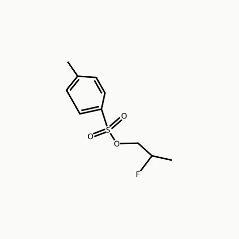 Cc1ccc(S(=O)(=O)OCC(C)F)cc1